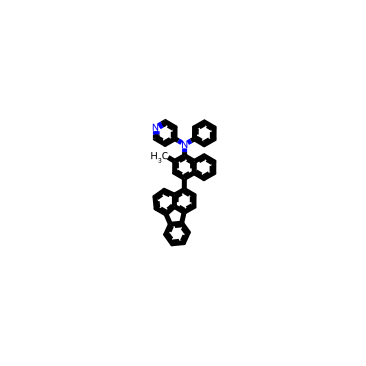 Cc1cc(-c2ccc3c4c(cccc24)-c2ccccc2-3)c2ccccc2c1N(c1ccccc1)c1ccncc1